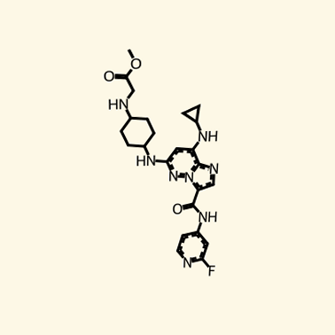 COC(=O)CNC1CCC(Nc2cc(NC3CC3)c3ncc(C(=O)Nc4ccnc(F)c4)n3n2)CC1